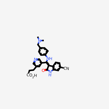 CN(C)Cc1ccc(NC(=C2C(=O)Nc3cc(C#N)ccc32)c2cncc(CCC(=O)O)c2)cc1